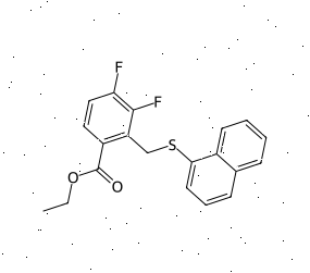 CCOC(=O)c1ccc(F)c(F)c1CSc1cccc2ccccc12